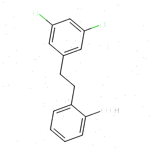 O=C(O)c1ccccc1CCc1cc(Cl)cc(Cl)c1